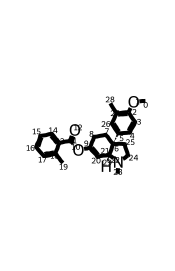 COc1ccc([C@@]23CCC(OC(=O)c4ccccc4C)=C[C@@H]2N(C)CC3)cc1C